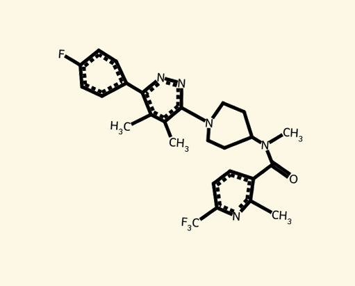 Cc1nc(C(F)(F)F)ccc1C(=O)N(C)C1CCN(c2nnc(-c3ccc(F)cc3)c(C)c2C)CC1